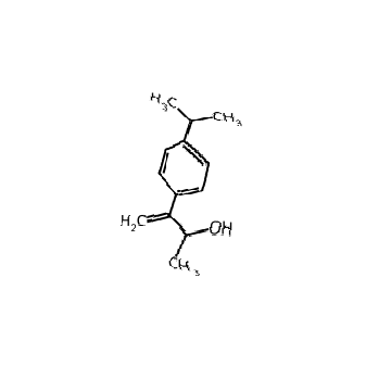 C=C(c1ccc(C(C)C)cc1)C(C)O